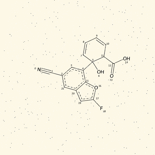 N#Cc1cc(C2(O)C=CC=CC2C(=O)O)c2oc(F)cc2c1